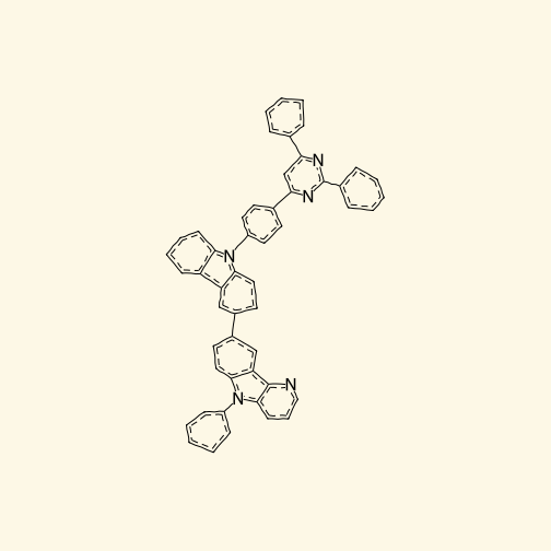 c1ccc(-c2cc(-c3ccc(-n4c5ccccc5c5cc(-c6ccc7c(c6)c6ncccc6n7-c6ccccc6)ccc54)cc3)nc(-c3ccccc3)n2)cc1